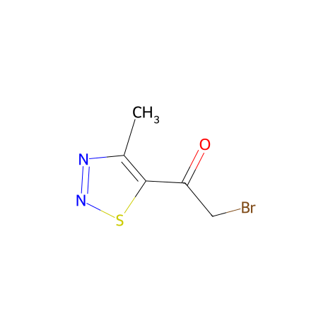 Cc1nnsc1C(=O)CBr